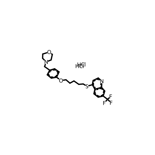 Cl.Cl.FC(F)(F)c1ccc2c(SCCCCCOc3ccc(CN4CCOCC4)cc3)ccnc2c1